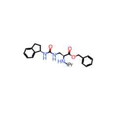 CC(C)N[C@@H](CNC(=O)N[C@@H]1CCc2ccccc21)C(=O)OCc1ccccc1